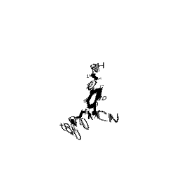 CC(C)(C)OC(=O)Cn1nc(C#N)c2ccc(OC/C=N/O)cc21